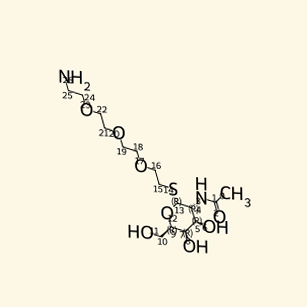 CC(=O)N[C@@H]1[C@@H](O)[C@@H](O)[C@@H](CO)O[C@@H]1SCCOCCOCCOCCN